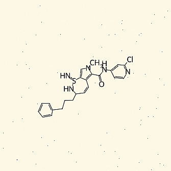 Cn1cc2c(c1C(=O)Nc1ccnc(Cl)c1)C=CC(CCCc1ccccc1)NS2=N